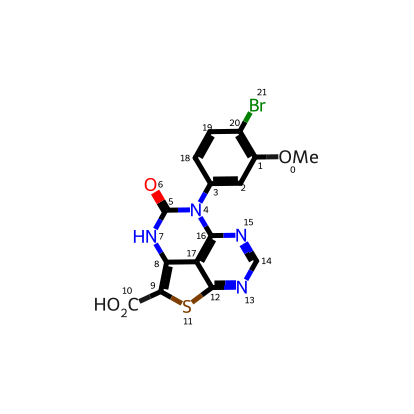 COc1cc(N2C(=O)Nc3c(C(=O)O)sc4ncnc2c34)ccc1Br